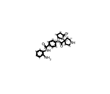 Nc1ccccc1NC(=O)c1ccc(NC(=O)C2(N3CCCC3=O)CCNCC2)cc1